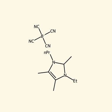 CCCN1C(C)=C(C)N(CC)C1C.N#C[B-](C#N)(C#N)C#N